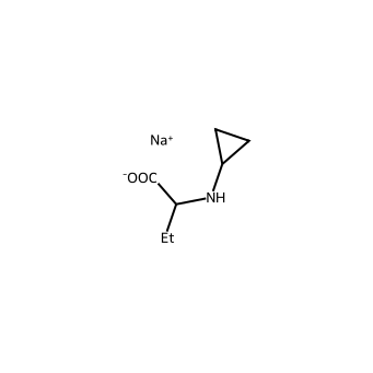 CCC(NC1CC1)C(=O)[O-].[Na+]